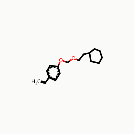 C=Cc1ccc(OCOCCC2CCCCC2)cc1